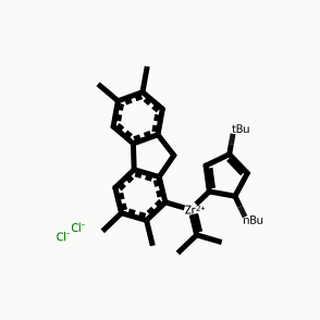 CCCCC1C=C(C(C)(C)C)C=[C]1[Zr+2](=[C](C)C)[c]1c(C)c(C)cc2c1Cc1cc(C)c(C)cc1-2.[Cl-].[Cl-]